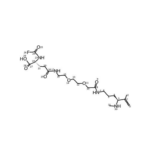 C=C(C)[C@H](CCCNC(=O)COCCOCCNC(=O)CC[C@@H](NC(=O)F)C(=O)O)NC